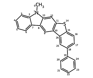 Cn1c2ccccc2c2cc3c(cc21)sc1ccc(-c2ccccc2)cc13